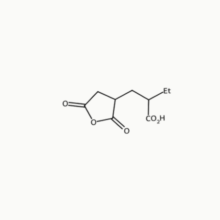 CCC(CC1CC(=O)OC1=O)C(=O)O